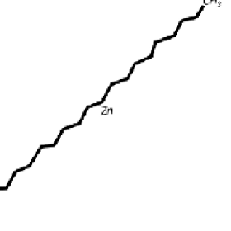 CCCCCCCCCCCCCCCCCCC=O.[Zn]